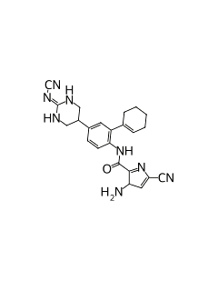 N#CN=C1NCC(c2ccc(NC(=O)C3=NC(C#N)=CC3N)c(C3=CCCCC3)c2)CN1